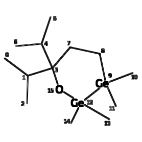 CC(C)C1(C(C)C)C[CH2][Ge]([CH3])([CH3])[Ge]([CH3])([CH3])[O]1